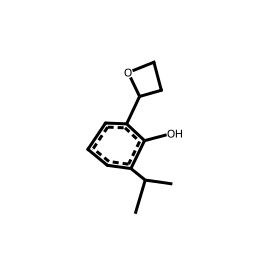 CC(C)c1cccc(C2CCO2)c1O